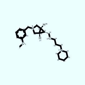 COc1cccc(CN2C[C@@H]3[C@H](COCCCN4CCCCC4)[C@@H]3C2)c1